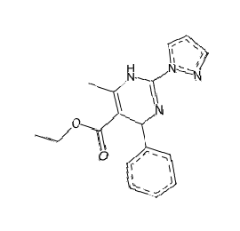 CCOC(=O)C1=C(C)NC(n2cccn2)=NC1c1ccccc1